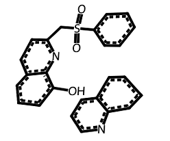 O=S(=O)(Cc1ccc2cccc(O)c2n1)c1ccccc1.c1ccc2ncccc2c1